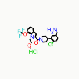 COCCn1c(C(=O)N2CCC(c3cc(CN)ccc3Cl)CC2)cc2cccc(OC(F)(F)F)c21.Cl